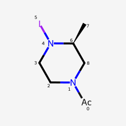 CC(=O)N1CCN(I)[C@@H](C)C1